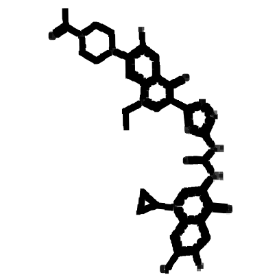 CCn1cc(-c2nnc(NC(=O)Nc3cn(C4CC4)c4cc(Cl)c(F)cc4c3=O)o2)c(=O)c2cc(F)c(N3CCN(C(C)=O)CC3)cc21